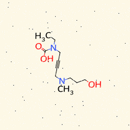 CCN(CC#CCN(C)CCCO)C(=O)O